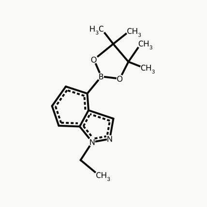 CCn1ncc2c(B3OC(C)(C)C(C)(C)O3)cccc21